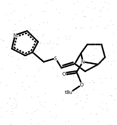 CC(C)(C)OC(=O)N1C2CCCC1C(=CSCc1ccncc1)C2